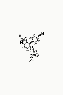 CCOC(=O)C(C)(C)Sc1ccc2nc(C)sc2c1-c1ccc(C#N)cc1